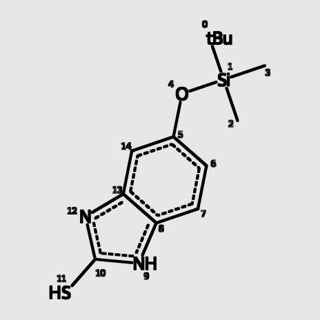 CC(C)(C)[Si](C)(C)Oc1ccc2[nH]c(S)nc2c1